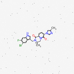 Cc1cn(-c2ccc3n(c2=O)C[C@@H](C)N(Cc2c[nH]c4cc(F)c(Br)cc24)C3=O)cn1